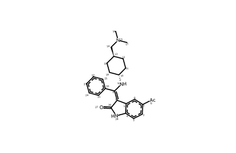 CC(=O)c1ccc2c(c1)C(=C(N[C@H]1CC[C@H](CN(C)C)CC1)c1ccccc1)C(=O)N2